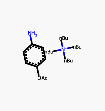 CC(=O)Oc1ccc(N)cc1.CCCC[N+](CCCC)(CCCC)CCCC